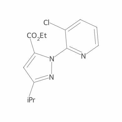 CCOC(=O)c1cc(C(C)C)nn1-c1ncccc1Cl